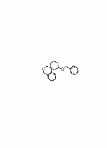 c1ccc(COC2CCCC3(COCc4ccccc43)C2)cc1